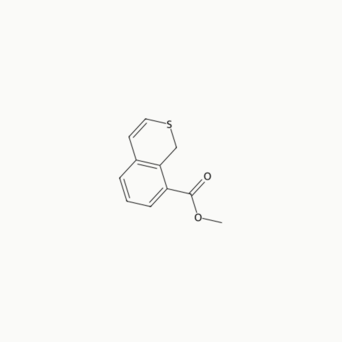 COC(=O)c1cccc2c1CSC=C2